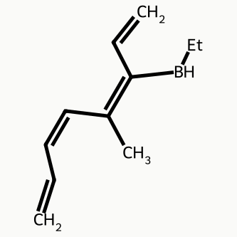 C=C/C=C\C(C)=C(\BCC)C=C